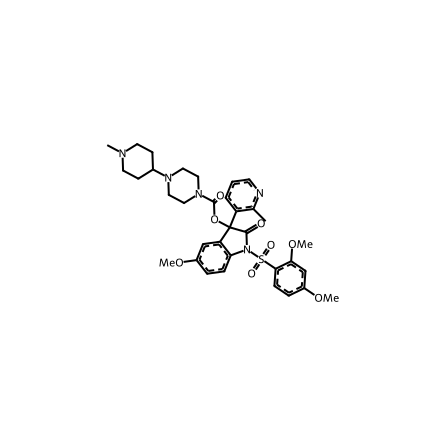 COc1ccc(S(=O)(=O)N2C(=O)C(OC(=O)N3CCN(C4CCN(C)CC4)CC3)(c3cccnc3C)c3cc(OC)ccc32)c(OC)c1